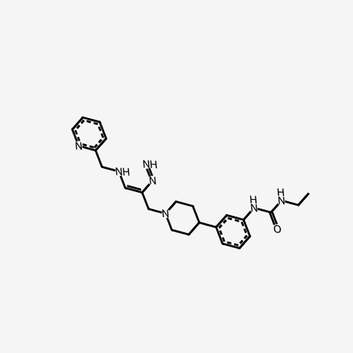 CCNC(=O)Nc1cccc(C2CCN(C/C(=C/NCc3ccccn3)N=N)CC2)c1